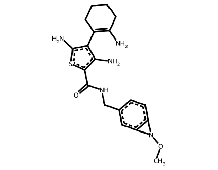 CON1c2ccc(CNC(=O)c3sc(N)c(C4=C(N)CCCC4)c3N)cc21